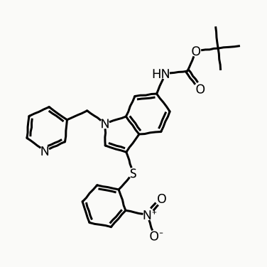 CC(C)(C)OC(=O)Nc1ccc2c(Sc3ccccc3[N+](=O)[O-])cn(Cc3cccnc3)c2c1